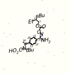 CCCCC(CC)COC(=O)O/N=C(/N)c1ccc([C@H](C)N(C(=O)O)C(C)(C)C)cc1